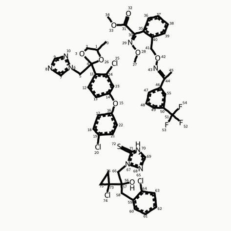 CC1COC(Cn2cncn2)(c2ccc(Oc3ccc(Cl)cc3)cc2Cl)O1.CO/N=C(/C(=O)OC)c1ccccc1CO/N=C(\C)c1cccc(C(F)(F)F)c1.OC(Cc1ccccc1Cl)(Cn1nc[nH]c1=S)C1(Cl)CC1